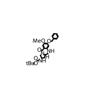 COc1cc2c(cc1OCc1ccccc1)NC[C@@H]1C[C@@H](NC(=O)OC(C)(C)C)CN1C2=O